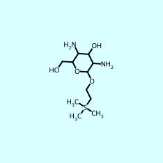 CS(C)(C)CCOC1OC(CO)C(N)C(O)C1N